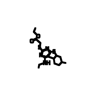 CCNc1nc(SCC(=O)OCC)nc2c1C1CCC(C)CC1S2